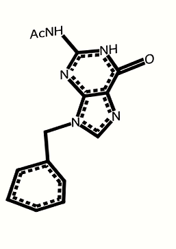 CC(=O)Nc1nc2c(ncn2Cc2ccccc2)c(=O)[nH]1